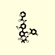 COc1cc(N(C)C(=O)c2ccccn2)ccc1-c1ccc2c(c1COc1cc(F)ccc1C)N(C)C(=O)C(C)(C)N2